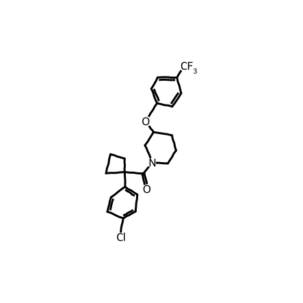 O=C(N1CCCC(Oc2ccc(C(F)(F)F)cc2)C1)C1(c2ccc(Cl)cc2)CCC1